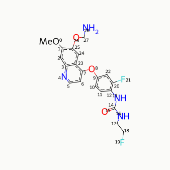 COc1cc2nccc(Oc3ccc(NC(=O)NCCF)c(F)c3)c2cc1OCN